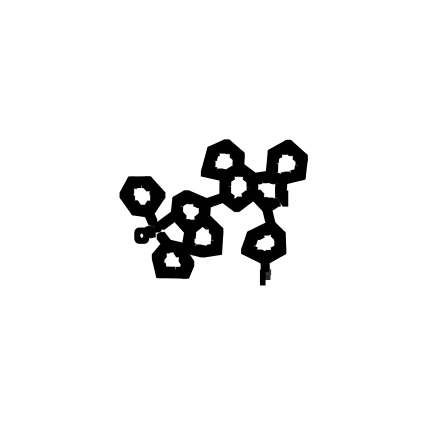 O=P(c1ccccc1)(c1ccccc1)c1ccc(-c2cc3c(-c4ccc(F)cc4)nc4ccccc4c3c3ccccc23)c2ccccc12